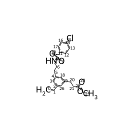 C=Cc1cc(CCNS(=O)(=O)c2ccc(Cl)cc2)cc(CCC(=O)OC)c1